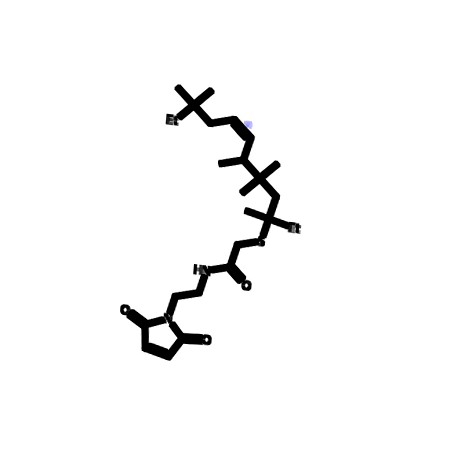 CCC(C)(C)C/C=C\C(C)C(C)(C)CC(C)(CC)SCC(=O)NCCN1C(=O)C=CC1=O